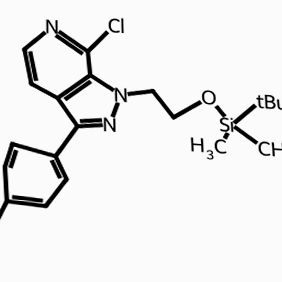 CC(C)c1ccc(-c2nn(CCO[Si](C)(C)C(C)(C)C)c3c(Cl)nccc23)cc1